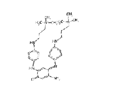 C[N+](C)(C)CCCNc1ccc(/N=C2\C=C(Nc3ccc(NCCC[N+](C)(C)C)cc3)C(=O)C=C2N)cc1